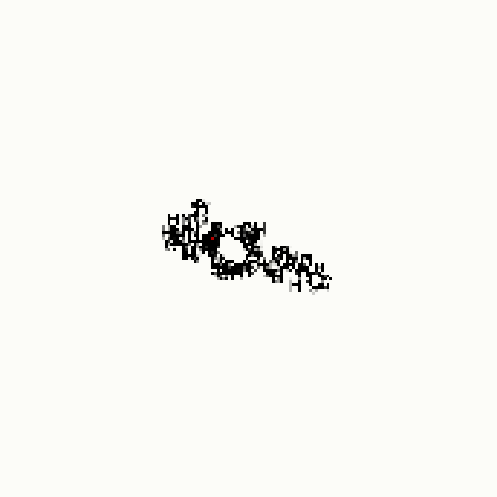 CC(C)C(=O)Nc1nc2c(ncn2[C@@H]2O[C@@H]3CO[P@@](O)(=S)O[C@H]4C[C@H](n5cnc6c(NC(=O)c7ccccc7)ncnc65)O[C@@H]4COP(O)(=S)O[C@@H]2[C@@H]3F)c(=O)[nH]1